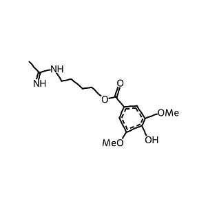 COc1cc(C(=O)OCCCCNC(C)=N)cc(OC)c1O